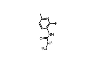 CCC(C)NC(=O)Nc1ccc(C)nc1F